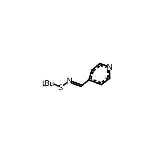 CC(C)(C)SN=Cc1ccncc1